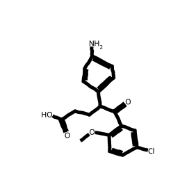 COc1ccc(Cl)cc1C(=O)C(CCC(=O)O)c1ccc(N)cc1